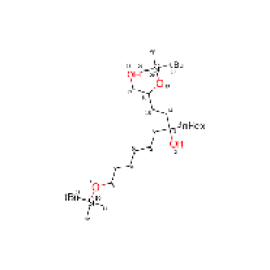 CCCCCCC(O)(CCCCCCO[Si](C)(C)C(C)(C)C)CCC(CO)O[Si](C)(C)C(C)(C)C